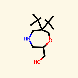 CC(C)(C)C1(C(C)(C)C)CNCC(CO)OC1